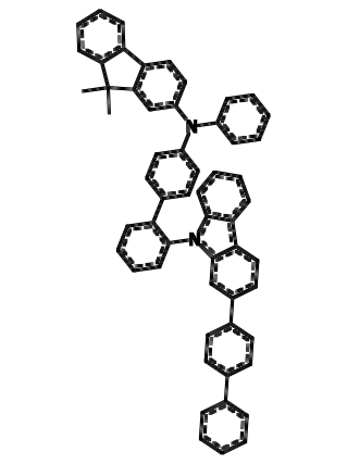 CC1(C)c2ccccc2-c2ccc(N(c3ccccc3)c3ccc(-c4ccccc4-n4c5ccccc5c5ccc(-c6ccc(-c7ccccc7)cc6)cc54)cc3)cc21